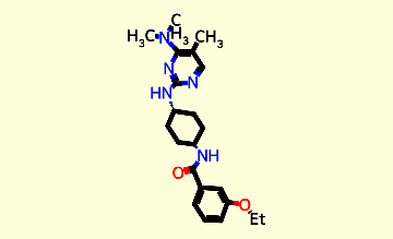 CCOc1cccc(C(=O)N[C@H]2CC[C@@H](Nc3ncc(C)c(N(C)C)n3)CC2)c1